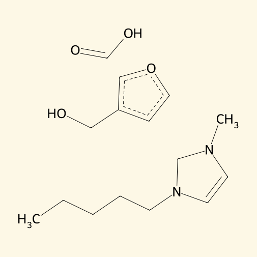 CCCCCN1C=CN(C)C1.O=CO.OCc1ccoc1